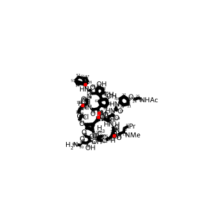 CN[C@H](CC(C)C)C(=O)N[C@H]1C(=O)N[C@@H](CC(=O)NC(=O)Nc2ccc(OCCNC(C)=O)cc2)C(=O)N[C@H]2C(=O)N[C@H]3C(=O)N[C@H](C(=O)N[C@H](C(=O)NC4C5CC6CC(C5)CC4C6)c4cc(O)cc(C)c4-c4cc3ccc4O)[C@H](O)c3ccc(c(Cl)c3)Oc3cc2cc(c3O[C@@H]2O[C@H](CN)[C@@H](O)[C@H](O)[C@H]2O)Oc2ccc(cc2C)[C@H]1O